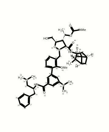 CNC(=O)O[C@@H](C)[C@H]1[C@H](CO)ON(Cc2cccc(-c3cc(C(=O)N[C@@H](Cc4ccccc4)CN(C)C)cc(N(C)C)c3)c2OC)[C@@H]1C(=O)N[C@H]1C[C@H]2C[C@@H]([C@@H]1C)C2(C)C